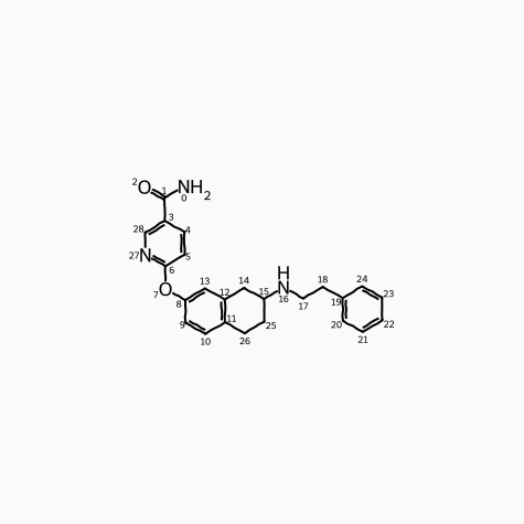 NC(=O)c1ccc(Oc2ccc3c(c2)CC(NCCc2ccccc2)CC3)nc1